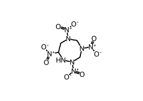 O=[N+]([O-])C1CN([N+](=O)[O-])CN([N+](=O)[O-])CN([N+](=O)[O-])N1